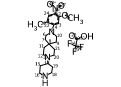 COc1cc(N2CCC3(CC2)CCN(C2CCNCC2)CC3)c(C)cc1[N+](=O)[O-].O=C(O)C(F)(F)F